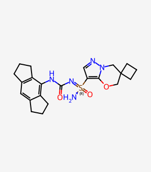 N[S@@](=O)(=NC(=O)Nc1c2c(cc3c1CCC3)CCC2)c1cnn2c1OCC1(CCC1)C2